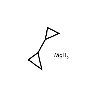 C1CC1C1CC1.[MgH2]